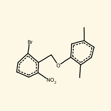 Cc1ccc(C)c(OCc2c(Br)cccc2[N+](=O)[O-])c1